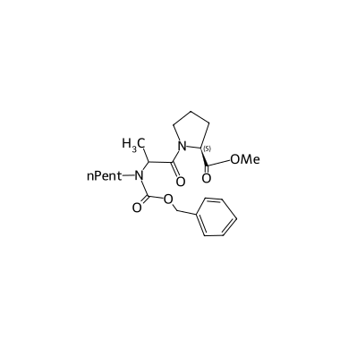 CCCCCN(C(=O)OCc1ccccc1)C(C)C(=O)N1CCC[C@H]1C(=O)OC